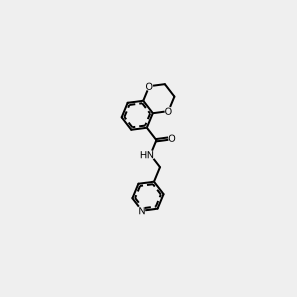 O=C(NCc1ccncc1)c1cccc2c1OCCO2